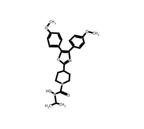 COc1ccc(-c2nc(C3CCN(C(=O)N(O)C(C)C)CC3)oc2-c2ccc(OC)cc2)cc1